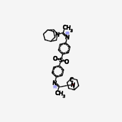 C/C(=N/c1ccc(S(=O)(=O)c2ccc(/N=C(/C)N3CC4CCC(CC4)C3)cc2)cc1)N1CC2CCC(CC2)C1